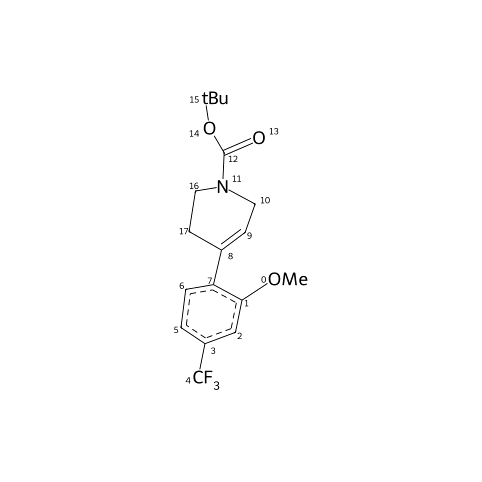 COc1cc(C(F)(F)F)ccc1C1=CCN(C(=O)OC(C)(C)C)CC1